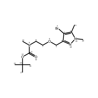 Cc1c(Br)c(COCCN(C)C(=O)OC(C)(C)C)nn1C